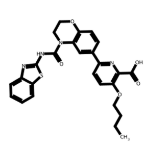 CCCCOc1ccc(-c2ccc3c(c2)N(C(=O)Nc2nc4ccccc4s2)CCO3)nc1C(=O)O